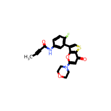 CC#CC(=O)Nc1ccc(F)c(-c2csc3c(=O)cc(N4CCOCC4)oc23)c1